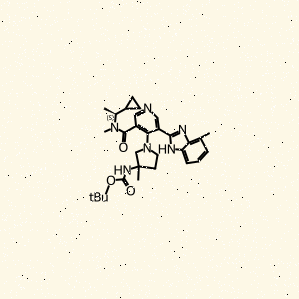 Cc1cccc2[nH]c(-c3cncc(C(=O)N(C)[C@@H](C)C4CC4)c3N3CCC(C)(NC(=O)OC(C)(C)C)C3)nc12